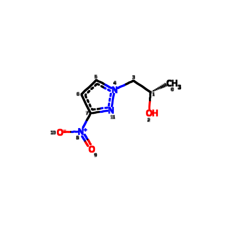 C[C@H](O)Cn1ccc([N+](=O)[O-])n1